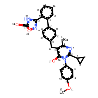 CCCCc1nc(C2CC2)n(-c2ccc(OCC)cc2)c(=O)c1Cc1ccc(-c2ccccc2-c2noc(=O)[nH]2)cc1